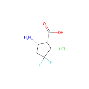 Cl.N[C@H]1CC(F)(F)C[C@H]1C(=O)O